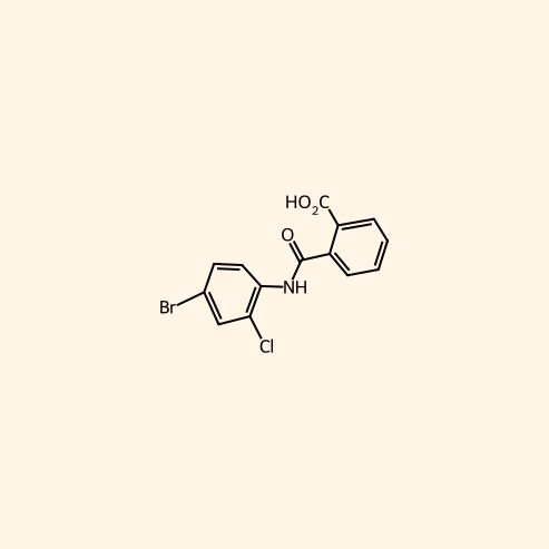 O=C(O)c1ccccc1C(=O)Nc1ccc(Br)cc1Cl